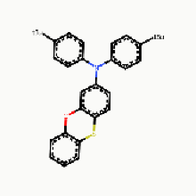 CC(C)(C)c1ccc(N(c2ccc(C(C)(C)C)cc2)c2ccc3c(c2)Oc2ccccc2S3)cc1